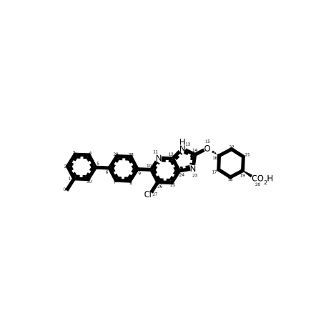 Cc1cccc(-c2ccc(-c3nc4[nH]c(O[C@H]5CC[C@H](C(=O)O)CC5)nc4cc3Cl)cc2)c1